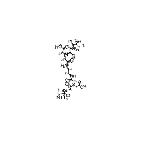 NCC(=O)NCC(=O)N(CC(=O)O)CC(=O)NCCNC(=O)CN(CC(=O)O)C(=O)CNC(=O)CN